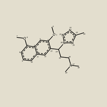 COc1cc2c(OC)cccc2cc1C(CCN(C)C)n1nnc(C)n1